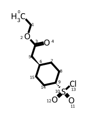 CCOC(=O)C[C@H]1CC[C@H](S(=O)(=O)Cl)CC1